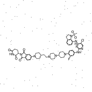 CS(=O)(=O)N1CCc2cccc(Nc3nc(Nc4ccc(N5CCC(N6CCN(CCC7CCN(c8ccc9c(c8)C(=O)N(C8CCC(=O)NC8=O)C9=O)CC7)CC6)CC5)c(F)c4)ncc3Cl)c21